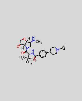 CN[C@H]1CN(C(=O)[C@@H](NC(=O)c2ccc(C3CCN(C4CC4)CC3)cc2)C(C)(C)C)[C@@H]2C(=O)CO[C@H]12